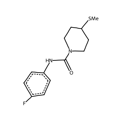 CSC1CCN(C(=O)Nc2ccc(F)cc2)CC1